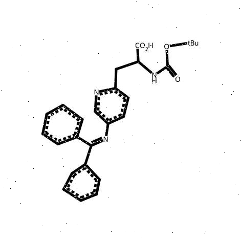 CC(C)(C)OC(=O)NC(Cc1ccc(N=C(c2ccccc2)c2ccccc2)cn1)C(=O)O